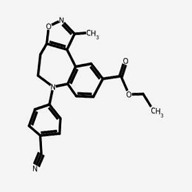 CCOC(=O)c1ccc2c(c1)-c1c(C)noc1CCN2c1ccc(C#N)cc1